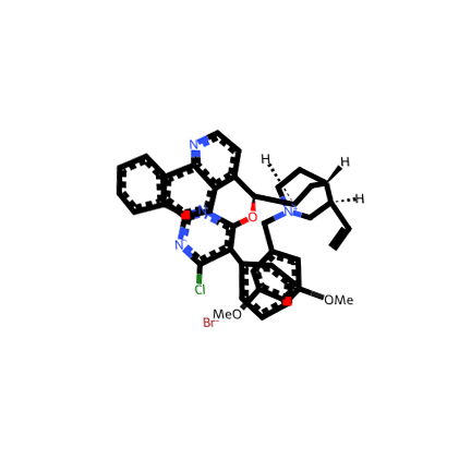 C=C[C@H]1C[N+]2(Cc3cc(OC)cc(OC)c3)CC[C@H]1C[C@@H]2[C@@H](Oc1nc(-c2ccccc2)nc(Cl)c1-c1ccccc1)c1ccnc2ccccc12.[Br-]